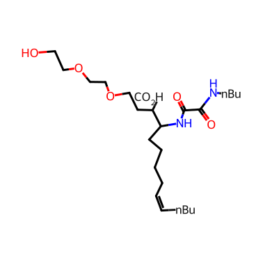 CCCC/C=C\CCCCC(NC(=O)C(=O)NCCCC)C(CCOCCOCCO)C(=O)O